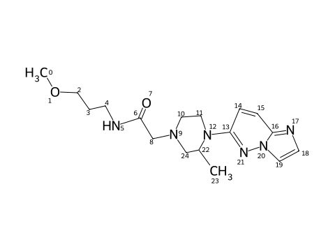 COCCCNC(=O)CN1CCN(c2ccc3nccn3n2)C(C)C1